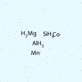 [AlH3].[Co].[MgH2].[Mn].[SiH4]